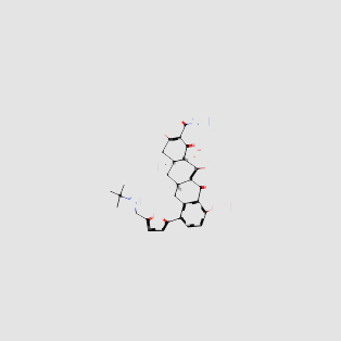 CC(C)(C)NCc1ccc(-c2ccc(O)c3c2C[C@H]2C[C@H]4CC(O)=C(C(N)=O)C(=O)[C@@]4(O)C(O)=C2C3=O)o1